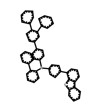 c1ccc(-c2ccc(-c3ccc(N(c4ccc(-c5cccc6c5sc5ccccc56)cc4)c4ccccc4-c4ccccc4)cc3)cc2-c2ccccc2)cc1